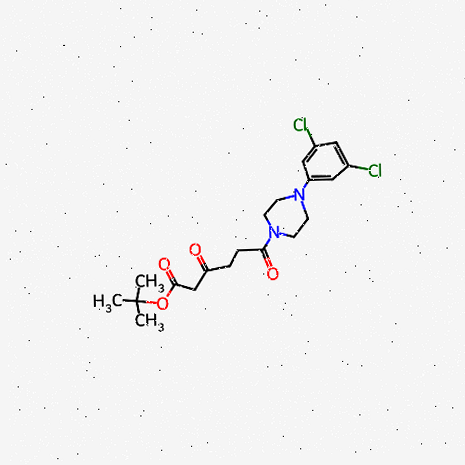 CC(C)(C)OC(=O)CC(=O)CCC(=O)N1CCN(c2cc(Cl)cc(Cl)c2)CC1